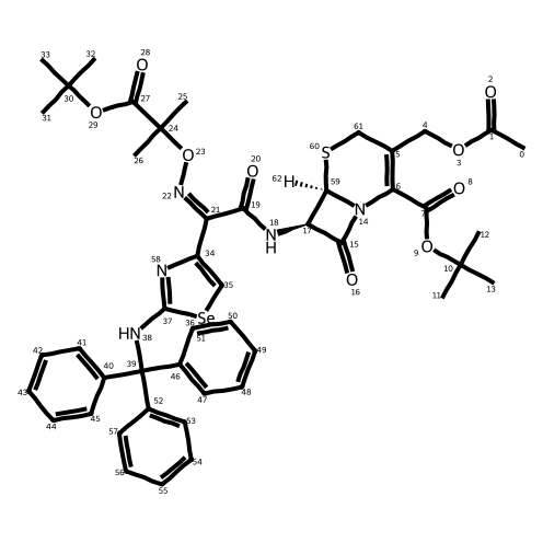 CC(=O)OCC1=C(C(=O)OC(C)(C)C)N2C(=O)[C@@H](NC(=O)/C(=N\OC(C)(C)C(=O)OC(C)(C)C)c3c[se]c(NC(c4ccccc4)(c4ccccc4)c4ccccc4)n3)[C@H]2SC1